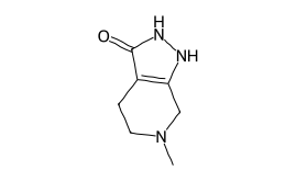 CN1CCc2c([nH][nH]c2=O)C1